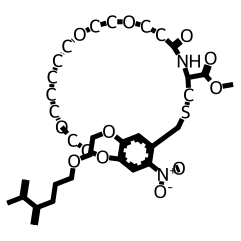 C=C(C)C(=C)CCCOCCOc1cc2c([N+](=O)[O-])cc1OCCOCCCCCOCCOCCC(=O)NC(C(=O)OC)CSC2